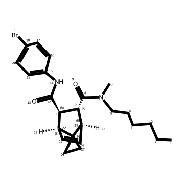 CCCCCCN(C)C(=O)[C@H]1[C@H](C(=O)Nc2ccc(Br)cc2)[C@@H]2C=C[C@H]1C21CC1